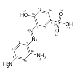 Nc1ccc(N=Nc2cc(S(=O)(=O)O)ccc2O)c(N)c1